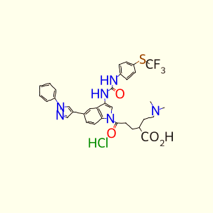 CN(C)CCC(CCC(=O)n1cc(NC(=O)Nc2ccc(SC(F)(F)F)cc2)c2cc(-c3cnn(-c4ccccc4)c3)ccc21)C(=O)O.Cl